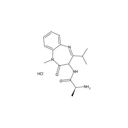 CC(C)C1=Nc2ccccc2N(C)C(=O)C1NC(=O)[C@H](C)N.Cl